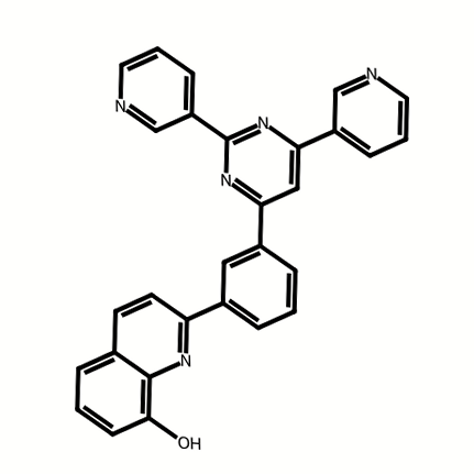 Oc1cccc2ccc(-c3cccc(-c4cc(-c5cccnc5)nc(-c5cccnc5)n4)c3)nc12